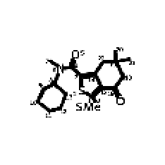 CSc1sc(C(=O)N(C)C2CCCCC2)c2c1C(=O)CC(C)(C)C2